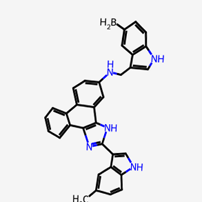 Bc1ccc2[nH]cc(CNc3ccc4c5ccccc5c5nc(-c6c[nH]c7ccc(C)cc67)[nH]c5c4c3)c2c1